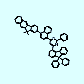 CC1(C)c2cc(-c3ccc(-c4cc(-c5cccc6c5-c5ccccc5C6(c5ccccc5)c5ccccc5)nc(-c5ccccc5)n4)c4ccccc34)ccc2-c2cc3ccccc3cc21